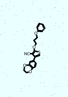 N#Cc1c(-c2ccc3c(c2)OCCO3)csc1OCCCOc1ccccc1